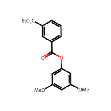 CCOC(=O)c1cccc(C(=O)Oc2cc(OC)cc(OC)c2)c1